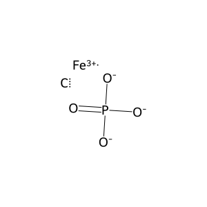 O=P([O-])([O-])[O-].[C].[Fe+3]